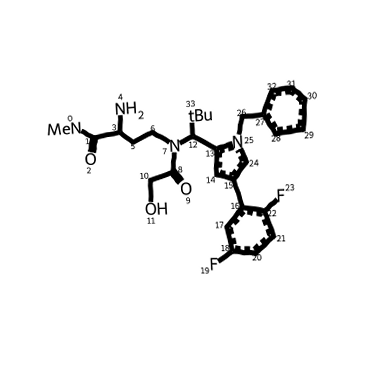 CNC(=O)C(N)CCN(C(=O)CO)C(c1cc(-c2cc(F)ccc2F)cn1Cc1ccccc1)C(C)(C)C